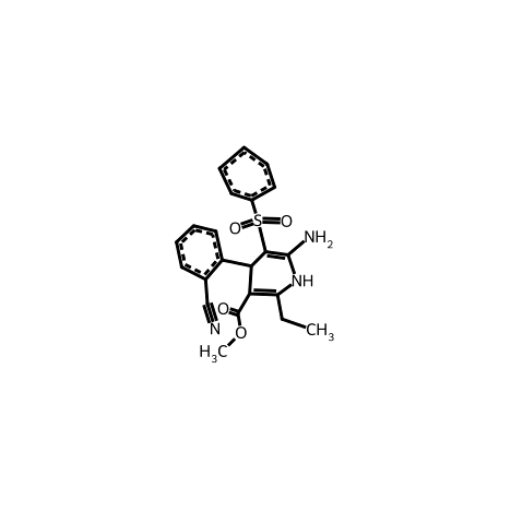 CCC1=C(C(=O)OC)C(c2ccccc2C#N)C(S(=O)(=O)c2ccccc2)=C(N)N1